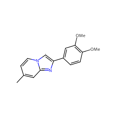 COc1ccc(-c2[c]n3ccc(C)cc3n2)cc1OC